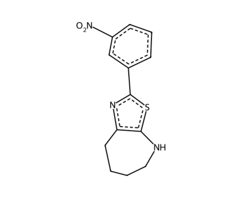 O=[N+]([O-])c1cccc(-c2nc3c(s2)NCCCC3)c1